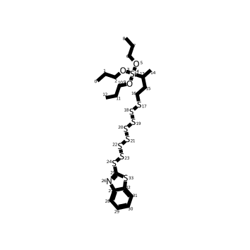 CCCO[Si](OCCC)(OCCC)C(C)CCSSSSSSSSc1nc2ccccc2s1